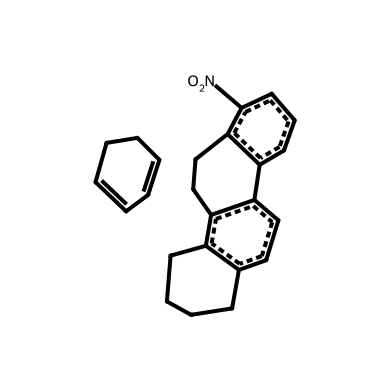 C1=CCCC=C1.O=[N+]([O-])c1cccc2c1CCc1c-2ccc2c1CCCC2